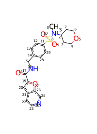 CN(C1CCOCC1)S(=O)(=O)c1ccc(CNC(=O)c2cc3ccncc3o2)cc1